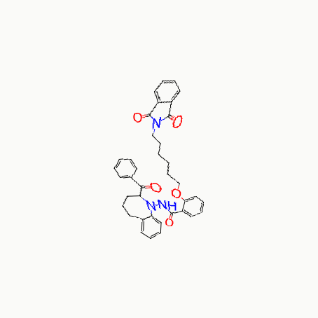 O=C(NN1c2ccccc2CCCC1C(=O)c1ccccc1)c1ccccc1OCCCCCCN1C(=O)c2ccccc2C1=O